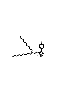 CCCCCCCCCN(CCCCCCCCC)CCc1[nH]nnc1-c1ccc(C)cc1